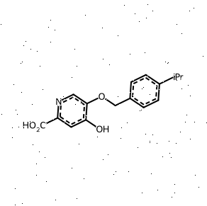 CC(C)c1ccc(COc2cnc(C(=O)O)cc2O)cc1